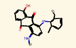 CCc1cccc(C)c1Nc1ccc(NC(C)C)c2c1C(=O)c1c(O)cccc1C2=O